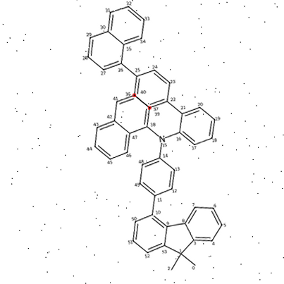 CC1(C)c2ccccc2-c2c(-c3ccc(N(c4ccccc4-c4ccc(-c5cccc6ccccc56)cc4)c4cccc5ccccc45)cc3)cccc21